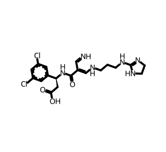 N=C/C(=C\NCCCNC1=NCCN1)C(=O)N[C@@H](CC(=O)O)c1cc(Cl)cc(Cl)c1